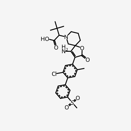 Cc1cc(-c2cccc(S(C)(=O)=O)c2)c(Cl)cc1C1=C(N)C2(CCCN(C(C(=O)O)C(C)(C)C)C2)OC1=O